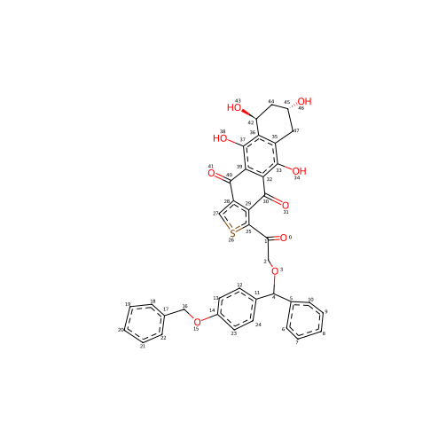 O=C(COC(c1ccccc1)c1ccc(OCc2ccccc2)cc1)c1scc2c1C(=O)c1c(O)c3c(c(O)c1C2=O)[C@@H](O)C[C@H](O)C3